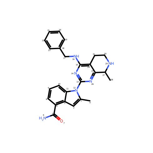 Cc1cc2c(C(N)=O)cccc2n1-c1nc(NCc2ccccc2)c2c(n1)C(C)NCC2